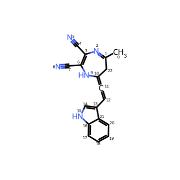 CC1=NC(C#N)=C(C#N)NC(=C=Cc2c[nH]c3ccccc23)C1